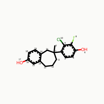 CC1(c2ccc(O)c(F)c2Cl)CCCc2cc(O)ccc2C1